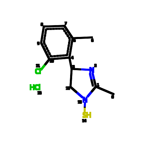 CC1=NC(c2c(C)cccc2Cl)CN1S.Cl